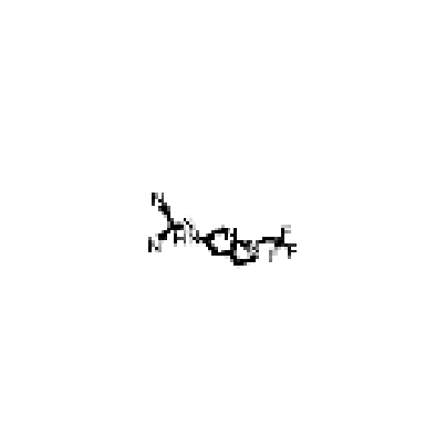 N#CC(C#N)=NNc1cnc2c(ccn2CC(F)(F)F)c1